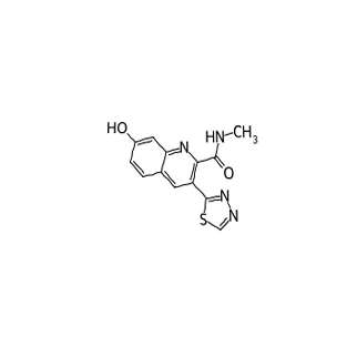 CNC(=O)c1nc2cc(O)ccc2cc1-c1nncs1